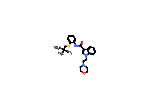 CC(C)(CSc1ccccc1NC(=O)c1cn(CCN2CCOCC2)c2ccccc12)C(=O)O